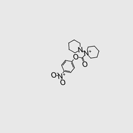 O=C(Oc1ccc([N+](=O)[O-])cc1)[N+]1(N2CCCCC2)CCCCC1